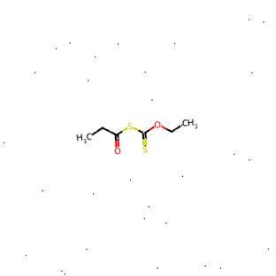 CCOC(=S)SC(=O)CC